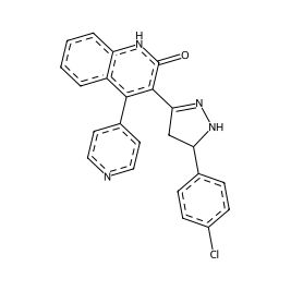 O=c1[nH]c2ccccc2c(-c2ccncc2)c1C1=NNC(c2ccc(Cl)cc2)C1